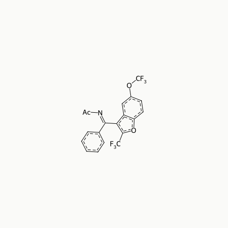 CC(=O)N=C(c1ccccc1)c1c(C(F)(F)F)oc2ccc(OC(F)(F)F)cc12